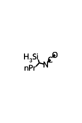 CCCC([SiH3])N=C=O